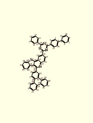 c1ccc(-c2ccc(-c3nc(-c4ccccc4)nc(-c4ccc5nc(-c6ccc7c8ccccc8c8ccccc8c7c6)c6c7ccccc7sc6c5c4)n3)cc2)cc1